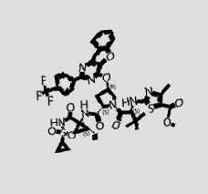 C=C[C@@H]1C[C@]1(NC(=O)[C@@H]1C[C@@H](Oc2nc(-c3ccc(C(F)(F)F)cc3)nc3c2oc2ccccc23)CN1C(=O)[C@@H](Nc1nc(C)c(C(=O)OC)s1)C(C)(C)C)C(=O)NS(=O)(=O)C1CC1